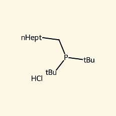 CCCCCCCCP(C(C)(C)C)C(C)(C)C.Cl